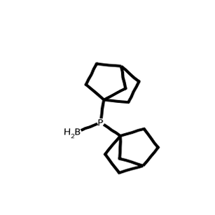 BP(C12CCC(CC1)C2)C12CCC(CC1)C2